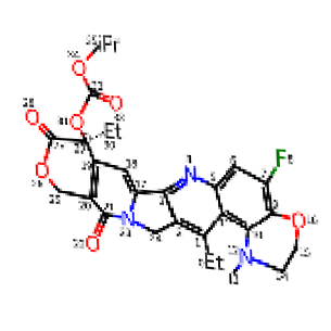 CCc1c2c(nc3cc(F)c4c(c13)N(C)CCO4)-c1cc3c(c(=O)n1C2)COC(=O)[C@@]3(CC)OC(=O)OC(C)C